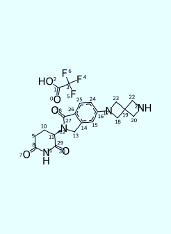 O=C(O)C(F)(F)F.O=C1CC[C@@H](N2Cc3cc(N4CC5(CNC5)C4)ccc3C2=O)C(=O)N1